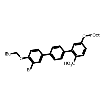 CCCCCCCCOc1ccc(C(=O)O)c(-c2ccc(-c3ccc(OCC(C)CC)c(Br)c3)cc2)c1